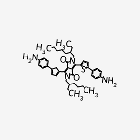 CCCCCC(CC)CN1C(=O)C2=C(C3=CC=C(c4ccc(N)cc4)C3)N(CC(CC)CCCC)C(=O)C2=C1c1ccc(-c2ccc(N)cc2)s1